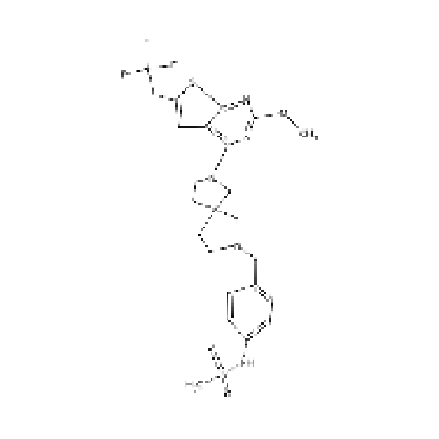 COc1nc(N2CCC3(CCN(Cc4ccc(NS(C)(=O)=O)cc4)C3)C2)c2cc(CC(F)(F)F)sc2n1